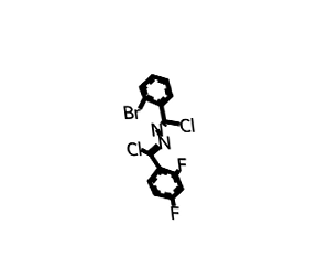 Fc1ccc(C(Cl)=NN=C(Cl)c2ccccc2Br)c(F)c1